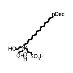 CCCCCCCCCCCCCCCCCCCCCCCC[N+](CCO)(CCO)CC(O)CS(=O)(=O)O